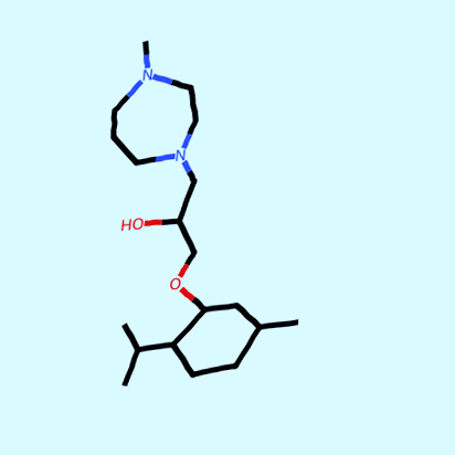 CC1CCC(C(C)C)C(OCC(O)CN2CCCN(C)CC2)C1